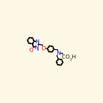 Cn1c(COc2ccc(CN(CC(=O)O)Cc3ccccc3)cc2)nc2ccccc2c1=O